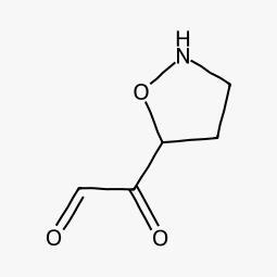 O=CC(=O)C1CCNO1